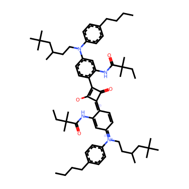 CCCCc1ccc(N(CCC(C)CC(C)(C)C)c2ccc(C3=C([O-])/C(=C4C=C/C(=[N+](\CCC(C)CC(C)(C)C)c5ccc(CCCC)cc5)C=C/4NC(=O)C(C)(C)CC)C3=O)c(NC(=O)C(C)(C)CC)c2)cc1